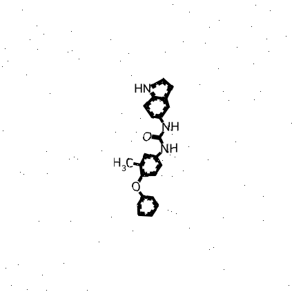 Cc1cc(NC(=O)Nc2ccc3[nH]ccc3c2)ccc1Oc1ccccc1